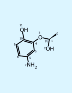 C[C@@H](O)Oc1cc(N)ccc1O